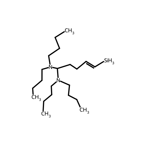 CCCCN(CCCC)C(CCC=C[SiH3])N(CCCC)CCCC